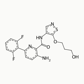 Nc1ccc(-c2c(F)cccc2F)nc1C(=O)Nc1cnsc1OCCCO